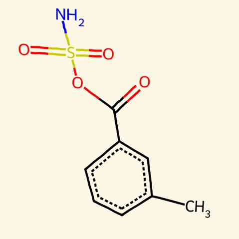 Cc1cccc(C(=O)OS(N)(=O)=O)c1